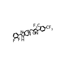 Fc1cccc(-c2nc3c([nH]2)C=NN(Cc2cc(-c4ccc(C(F)(F)F)cc4C(F)(F)F)no2)C3)c1F